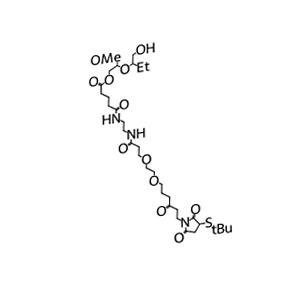 CCC(CO)OC(COC(=O)CCCC(=O)NCCNC(=O)CCOCCOCCCC(=O)CCN1C(=O)CC(SC(C)(C)C)C1=O)OC